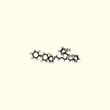 c1c[nH]c(CN(CCCCN2CCC3(CCN(C4CCCCC4)CC3)C2)Cc2ncc[nH]2)n1